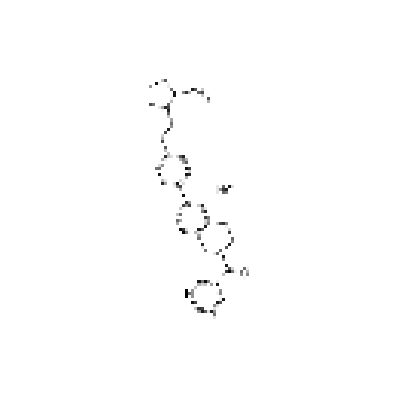 C[C@@H]1CCCN1CCc1ccc(-c2ccc3c(c2)CCN(C(=O)c2cncnc2)C3)cc1.Cl